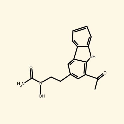 CC(=O)c1cc(CCN(O)C(N)=O)cc2c1[nH]c1ccccc12